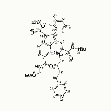 COCNC(=O)c1ccc2c(c1)c(CC(NCCCCc1ccncc1)C(=O)OC(C)(C)C)c(-c1cc(C)cc(C)c1)n2C(=O)OC(C)(C)C